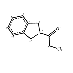 O=C(CCl)N1Cc2ccccc2C1